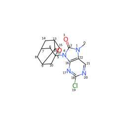 Cn1c(=O)n(C23CC4CC(C2)C(=O)C(C4)C3)c2nc(Cl)ncc21